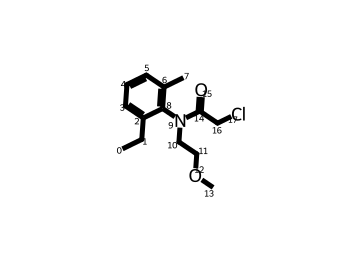 CCc1cccc(C)c1N(CCOC)C(=O)CCl